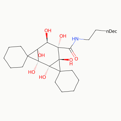 CCCCCCCCCCCCNC(=O)[C@]1(O)[C@H](O)[C@]2(O)C3(CCCCC3)[C@]2(O)[C@]2(O)C3(CCCCC3)[C@]21O